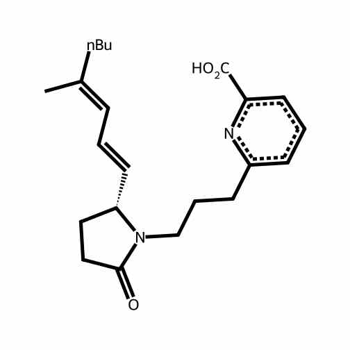 CCCC/C(C)=C/C=C/[C@H]1CCC(=O)N1CCCc1cccc(C(=O)O)n1